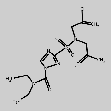 C=C(C)CN(CC(=C)C)S(=O)(=O)c1ncn(C(=O)N(CC)CC)n1